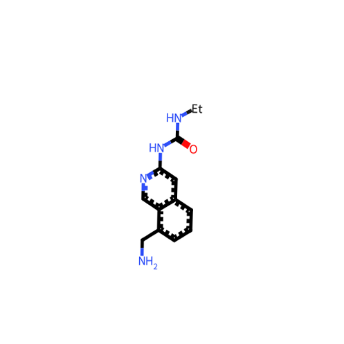 CCNC(=O)Nc1cc2cccc(CN)c2cn1